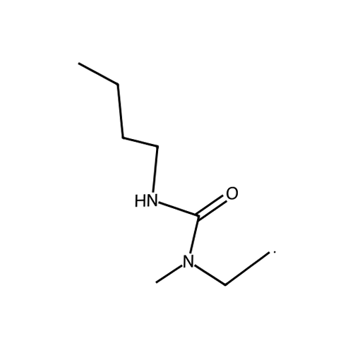 [CH2]CN(C)C(=O)NCCCC